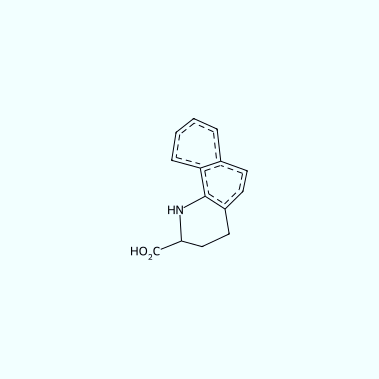 O=C(O)C1CCc2ccc3ccccc3c2N1